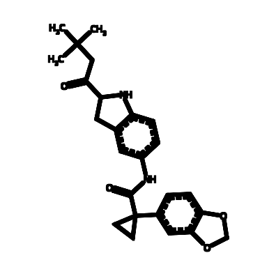 CC(C)(C)CC(=O)C1Cc2cc(NC(=O)C3(c4ccc5c(c4)OCO5)CC3)ccc2N1